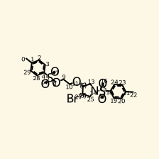 Cc1ccc(S(=O)(=O)OCCO[C@H]2CN(S(=O)(=O)c3ccc(C)cc3)C[C@@H]2Br)cc1